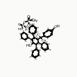 CC(C)(c1ccc(O)cc1)c1c(-c2ccccc2)c(-c2ccccc2)c(O)c(-c2ccccc2)c1-c1ccccc1.O=P(O)(O)OP(=O)(O)O